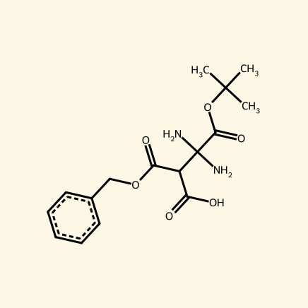 CC(C)(C)OC(=O)C(N)(N)C(C(=O)O)C(=O)OCc1ccccc1